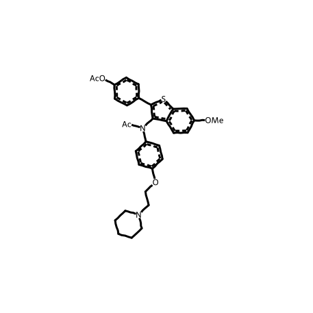 COc1ccc2c(N(C(C)=O)c3ccc(OCCN4CCCCC4)cc3)c(-c3ccc(OC(C)=O)cc3)sc2c1